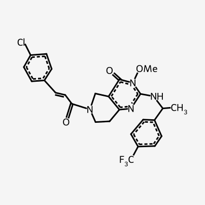 COn1c(NC(C)c2ccc(C(F)(F)F)cc2)nc2c(c1=O)CN(C(=O)/C=C/c1ccc(Cl)cc1)CC2